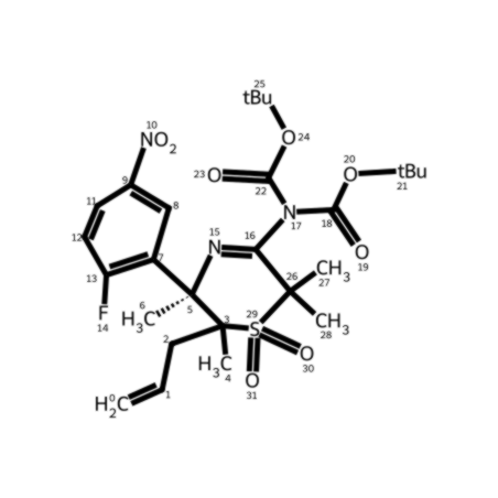 C=CCC1(C)[C@@](C)(c2cc([N+](=O)[O-])ccc2F)N=C(N(C(=O)OC(C)(C)C)C(=O)OC(C)(C)C)C(C)(C)S1(=O)=O